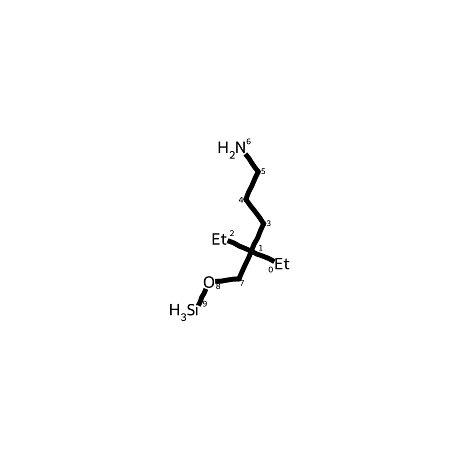 CCC(CC)(CCCN)CO[SiH3]